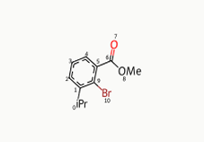 [CH2]C(C)c1cccc(C(=O)OC)c1Br